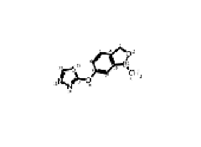 CB1OCc2ccc(Oc3nncs3)cc21